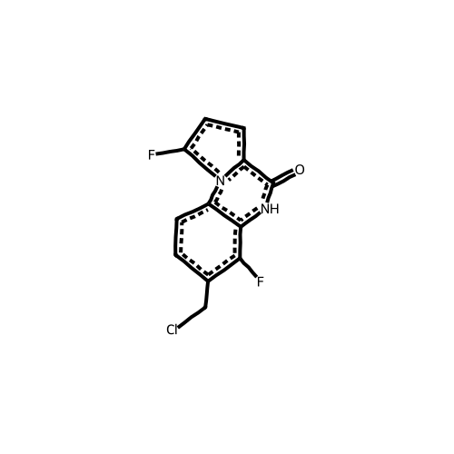 O=c1[nH]c2c(F)c(CCl)ccc2n2c(F)ccc12